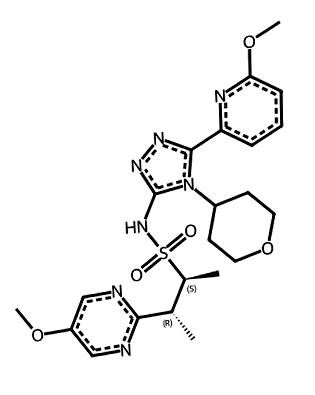 COc1cnc([C@@H](C)[C@H](C)S(=O)(=O)Nc2nnc(-c3cccc(OC)n3)n2C2CCOCC2)nc1